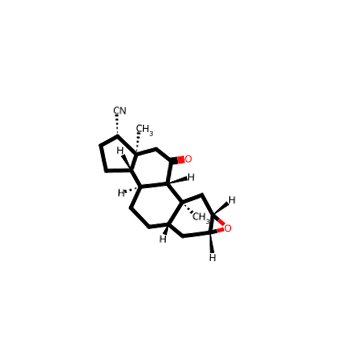 C[C@]12C[C@@H]3O[C@@H]3C[C@@H]1CC[C@H]1[C@@H]3CC[C@H](C#N)[C@@]3(C)CC(=O)[C@@H]12